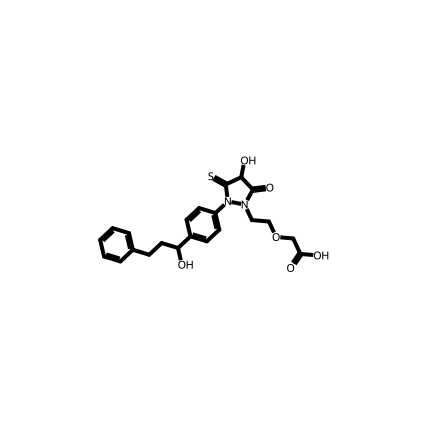 O=C(O)COCCN1C(=O)C(O)C(=S)N1c1ccc(C(O)CCc2ccccc2)cc1